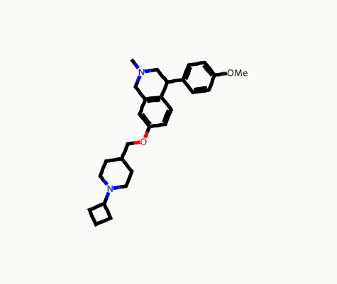 COc1ccc(C2CN(C)Cc3cc(OCC4CCN(C5CCC5)CC4)ccc32)cc1